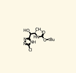 C[C@H](NC(=O)OC(C)(C)C)C(O)c1nnc(Cl)[nH]1